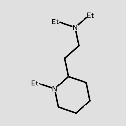 CCN(CC)CCC1CCCCN1CC